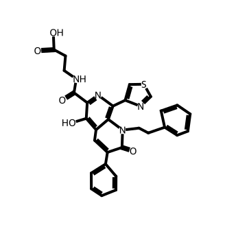 O=C(O)CCNC(=O)c1nc(-c2cscn2)c2c(cc(-c3ccccc3)c(=O)n2CCc2ccccc2)c1O